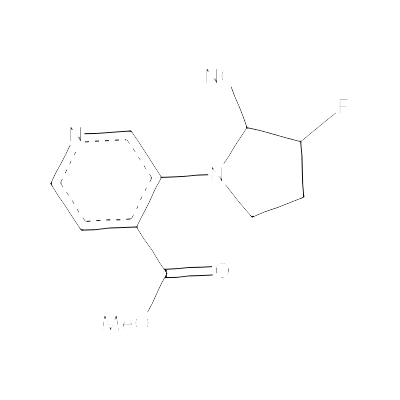 COC(=O)c1ccncc1N1CCC(F)C1C#N